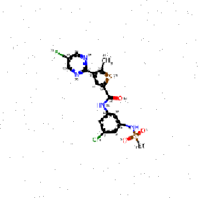 CCS(=O)(=O)Nc1cc(Cl)cc(NC(=O)c2cc(-c3ncc(F)cn3)c(C)s2)c1